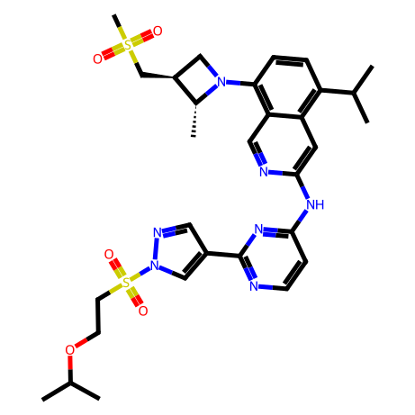 CC(C)OCCS(=O)(=O)n1cc(-c2nccc(Nc3cc4c(C(C)C)ccc(N5C[C@H](CS(C)(=O)=O)[C@H]5C)c4cn3)n2)cn1